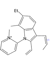 C=Cc1c(/C=C\C)c2ccc(CC)c(C)c2n1-c1cccc[n+]1C